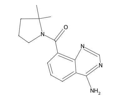 CC1(C)CCCN1C(=O)c1cccc2c(N)ncnc12